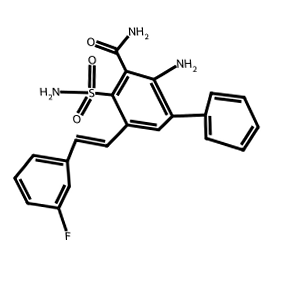 NC(=O)c1c(N)c(-c2ccccc2)cc(C=Cc2cccc(F)c2)c1S(N)(=O)=O